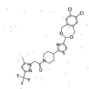 Cc1cc(C(F)(F)F)nn1CC(=O)N1CCC(c2nc(C3OCc4cc(Cl)c(Cl)cc4CO3)cs2)CC1